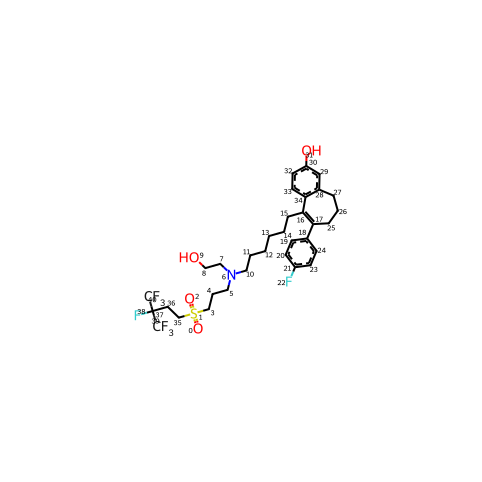 O=S(=O)(CCCN(CCO)CCCCCCC1=C(c2ccc(F)cc2)CCCc2cc(O)ccc21)CCC(F)(C(F)(F)F)C(F)(F)F